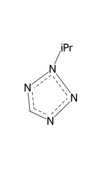 CC(C)n1ncnn1